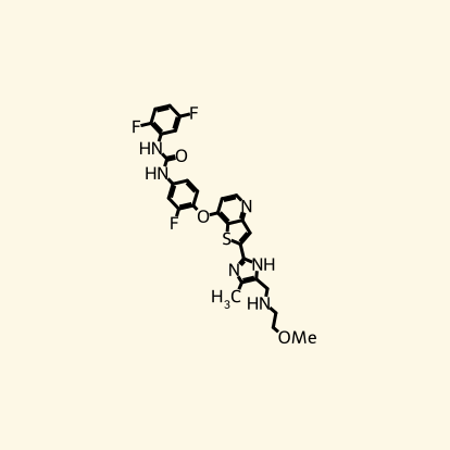 COCCNCc1[nH]c(-c2cc3nccc(Oc4ccc(NC(=O)Nc5cc(F)ccc5F)cc4F)c3s2)nc1C